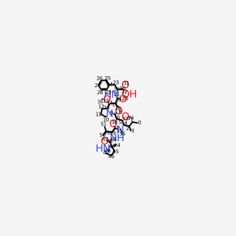 CCC(C)C(C(CC(=O)N1CCCC1C(OC)C(C)C(=O)NC(Cc1ccccc1)C(=O)O)OC)N(C)C(=O)C(NC(=O)C1(C)CCCN1)C(C)C